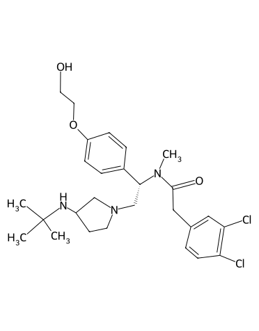 CN(C(=O)Cc1ccc(Cl)c(Cl)c1)[C@H](CN1CCC(NC(C)(C)C)C1)c1ccc(OCCO)cc1